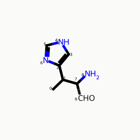 CC(c1c[nH]cn1)C(N)C=O